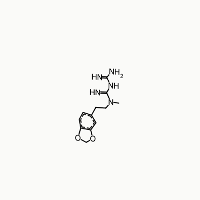 CN(CCc1ccc2c(c1)OCO2)C(=N)NC(=N)N